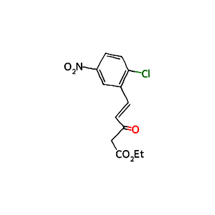 CCOC(=O)CC(=O)C=Cc1cc([N+](=O)[O-])ccc1Cl